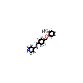 N#Cc1ccccc1OCc1ccc(/C=C/c2ccncc2)cc1